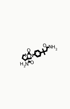 CC(C)(CC(N)=O)c1ccc(N2C[C@@]3(C(N)=O)[CH]CCN3C2=O)cc1